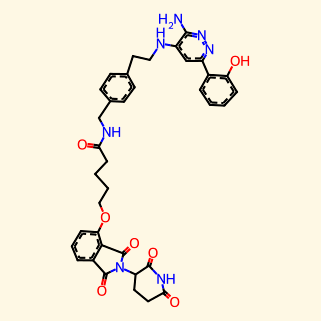 Nc1nnc(-c2ccccc2O)cc1NCCc1ccc(CNC(=O)CCCCOc2cccc3c2C(=O)N(C2CCC(=O)NC2=O)C3=O)cc1